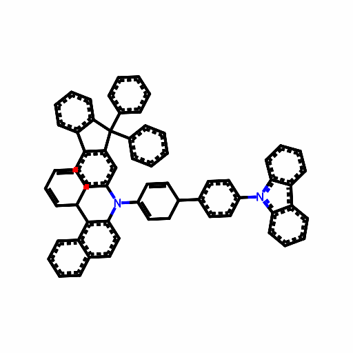 C1=CCC(c2c(N(C3=CCC(c4ccc(-n5c6ccccc6c6ccccc65)cc4)C=C3)c3ccc4c(c3)C(c3ccccc3)(c3ccccc3)c3ccccc3-4)ccc3ccccc23)C=C1